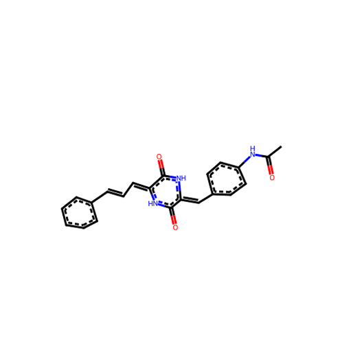 CC(=O)Nc1ccc(C=c2[nH]c(=O)c(=CC=Cc3ccccc3)[nH]c2=O)cc1